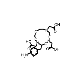 Nc1ccc(CC2CN(CC(=O)O)CCN(CC(=O)O)CCOCCN2CC(=O)O)cc1